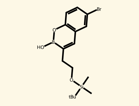 CC(C)(C)[Si](C)(C)OCCC1=Cc2cc(Br)ccc2OB1O